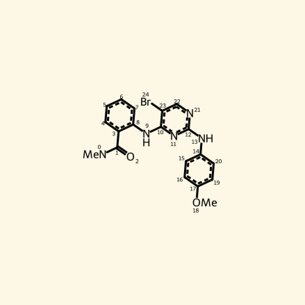 CNC(=O)c1ccccc1Nc1nc(Nc2ccc(OC)cc2)ncc1Br